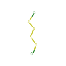 ClSSSSCl